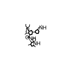 CCC(CC)N1CC(C)c2c(C(=O)NCc3c(C)cc(C)[nH]c3=O)cc(-c3cccc(CNC)c3)cc21